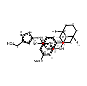 COc1cc(Nc2cc(CO)[nH]n2)nc(N[C@@H]2C[C@H]3CCC[C@@H](C2)N3Cc2ccc(C#N)nc2)n1